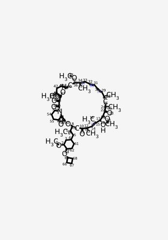 COC1CC(C[C@H](C)[C@@H]2CC(=O)[C@H](C)/C=C(\C)C(O)[C@@H](OC)C(=O)[C@H](C)C[C@H](C)/C=C/C=C/C=C(\C)[C@@H](OC)C[C@@H]3CC[C@@H](C)[C@@](O)(O3)C(=O)C(=O)N3CCCC[C@H]3C(=O)O2)CCC1OC1CCC1